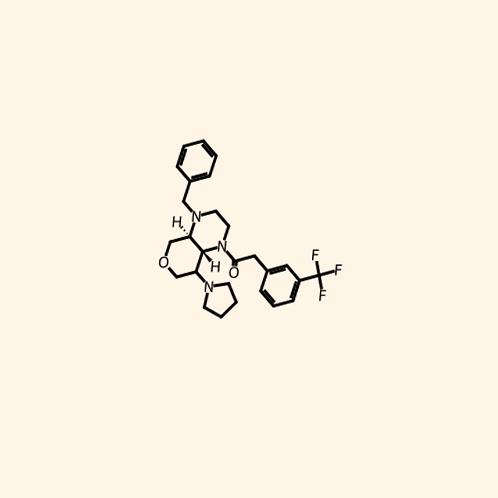 O=C(Cc1cccc(C(F)(F)F)c1)N1CCN(Cc2ccccc2)[C@@H]2COCC(N3CCCC3)[C@H]21